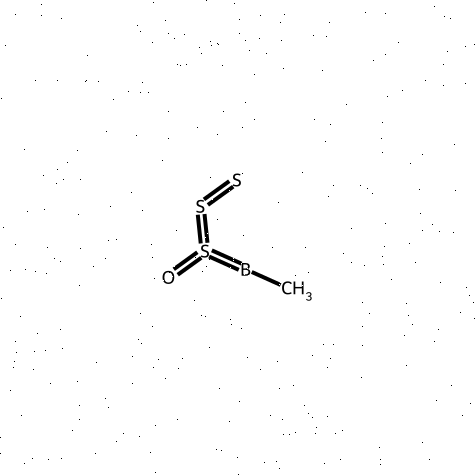 CB=S(=O)=S=S